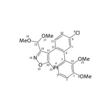 COc1[c]ccc(-c2cc(Cl)ccc2-c2c(C(OC)OC)noc2C(C)C)c1OC